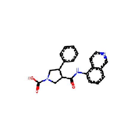 O=C(Nc1cccc2cnccc12)C1CN(C(=O)O)CC1c1ccccc1